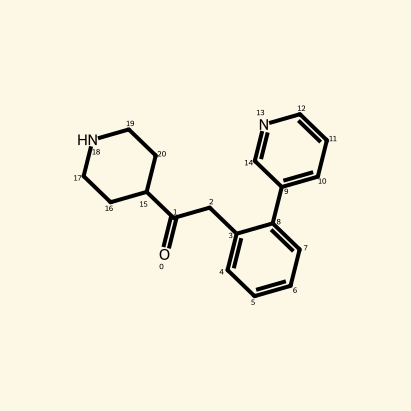 O=C(Cc1ccccc1-c1cccnc1)C1[CH]CNCC1